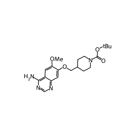 COc1cc2c(N)ncnc2cc1OCC1CCN(C(=O)OC(C)(C)C)CC1